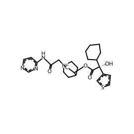 O=C(C[N+]12CCC(CC1)C(OC(=O)[C@](O)(c1ccsc1)C1CCCCC1)C2)Nc1ccncn1